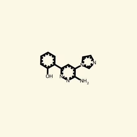 Nc1nnc(-c2ccccc2O)cc1-n1ccnc1